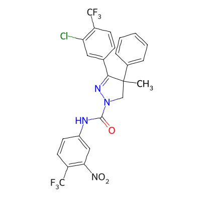 CC1(c2ccccc2)CN(C(=O)Nc2ccc(C(F)(F)F)c([N+](=O)[O-])c2)N=C1c1ccc(C(F)(F)F)c(Cl)c1